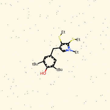 CCSc1c(Cc2cc(C(C)(C)C)c(O)c(C(C)(C)C)c2)cn(CC)c1SCC